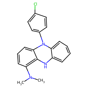 CN(C)c1cccc2c1Nc1ccccc1N2c1ccc(Cl)cc1